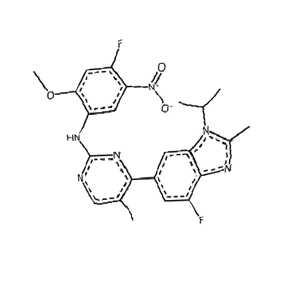 COc1cc(F)c([N+](=O)[O-])cc1Nc1ncc(C)c(-c2cc(F)c3nc(C)n(C(C)C)c3c2)n1